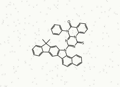 CC1(C)c2ccccc2-c2cc3c4ccc5ccccc5c4n(-c4nc(=S)n5c6ccccc6c(=O)n(-c6ccccc6)c5n4)c3cc21